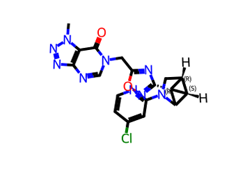 Cn1nnc2ncn(Cc3nc([C@@]45C6[C@H]4[C@H]5CN6c4cc(Cl)ccn4)no3)c(=O)c21